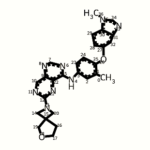 Cc1cc(Nc2ncnc3cnc(N4CC5(CCOC5)C4)nc23)ccc1Oc1ccc2c(c1)ncn2C